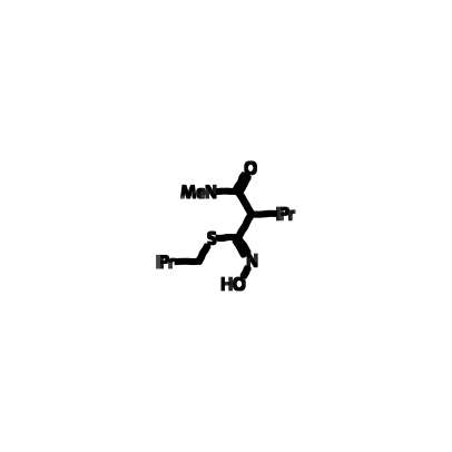 CNC(=O)C(C(=NO)SCC(C)C)C(C)C